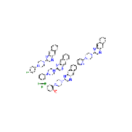 COc1ccccc1N1CCN(c2cnc3cc4ccccc4cc3n2)CC1.FC(F)(F)c1cccc(N2CCN(c3cnc4cc5ccccc5cc4n3)CC2)c1.Fc1ccc(N2CCN(c3cnc4cc5ccccc5cc4n3)CC2)cc1.c1ccc(N2CCN(c3cnc4cc5ccccc5cc4n3)CC2)nc1